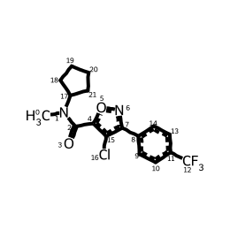 CN(C(=O)c1onc(-c2ccc(C(F)(F)F)cc2)c1Cl)C1CCCC1